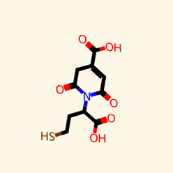 O=C(O)C1=CC(=O)N(C(CCS)C(=O)O)C(=O)C1